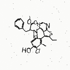 CCc1sc2ncnc(NC(Cc3ccccc3)C(=O)OC)c2c1-c1ccc(O)c(Cl)c1C